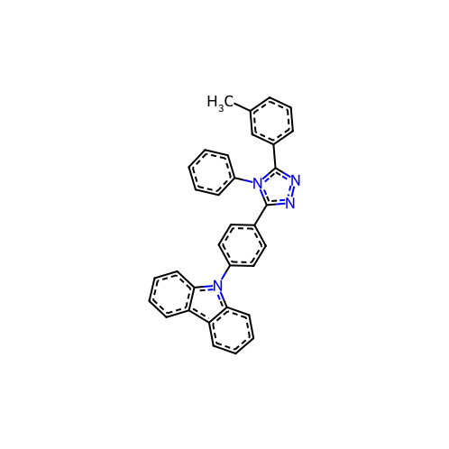 Cc1cccc(-c2nnc(-c3ccc(-n4c5ccccc5c5ccccc54)cc3)n2-c2ccccc2)c1